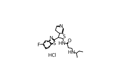 CCC(C)NCCC(=O)NC1SC2=CN=CCC2C1c1nc2cc(F)ccc2s1.Cl